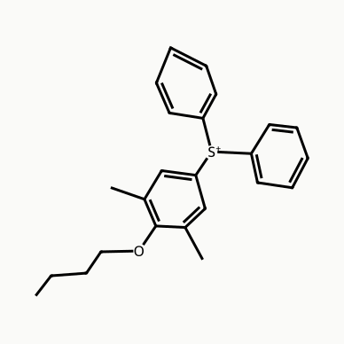 CCCCOc1c(C)cc([S+](c2ccccc2)c2ccccc2)cc1C